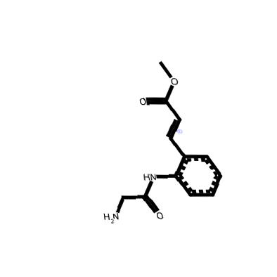 COC(=O)/C=C/c1ccccc1NC(=O)CN